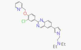 CCN(CC)CCn1ccc(-c2ccc3nc(-c4ccc(OCc5ccccn5)c(Cl)c4)ncc3c2)c1